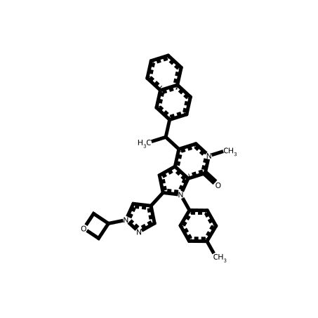 Cc1ccc(-n2c(-c3cnn(C4COC4)c3)cc3c(C(C)c4ccc5ccccc5c4)cn(C)c(=O)c32)cc1